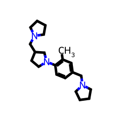 Cc1cc(CN2CCCC2)ccc1N1CCC(CN2CCCC2)C1